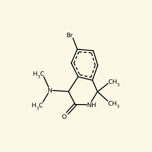 CN(C)C1C(=O)NC(C)(C)c2ccc(Br)cc21